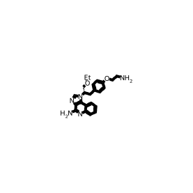 CCOC[C@H](Cc1ccc(OCCN)cc1)n1cnc2c(N)nc3ccccc3c21